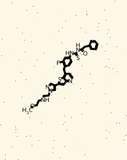 COCCNCCn1cc(-c2cc3nccc(Cc4ccc(NC(=S)NC(=O)Cc5ccccc5)cc4F)c3s2)cn1